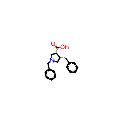 O=C(O)[C@H]1CN(Cc2ccccc2)C[C@H]1Cc1ccccc1